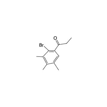 CCC(=O)c1cc(C)c(C)c(C)c1Br